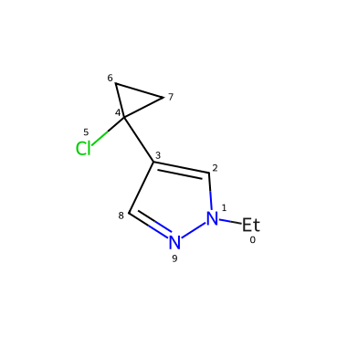 CCn1cc(C2(Cl)CC2)cn1